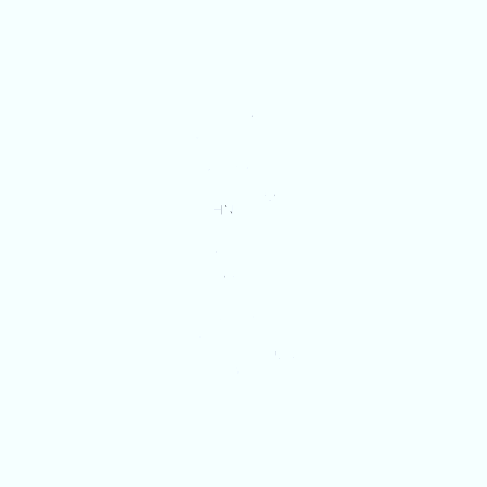 O=C(NCCOCc1cccc(Cl)c1)c1ccccc1